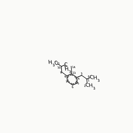 CC(C)Cc1cccc(CC(C)C)c1I